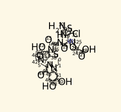 CCn1nc(C[N+]2(CC3=C(C(=O)O)N4C(=O)[C@@H](NC(=O)/C(=N\OC(C)(C)C(=O)O)c5nc(N)sc5Cl)C4SC3)CCCC2)c(=O)c2cc(O)c(O)cc21